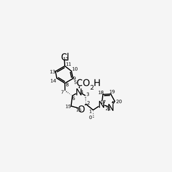 C[C@H]([C@H]1CN(C(=O)O)[C@@H](Cc2ccc(Cl)cc2)CO1)n1cccn1